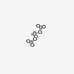 c1cc(-c2ncnc3c2sc2ccc(-n4c5ccccc5c5ccccc54)cc23)cc(-n2c3ccccc3c3ccccc32)c1